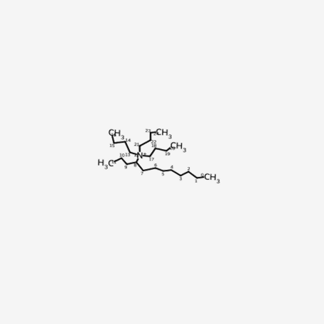 CCCCCCCCC(CCC)[N+](CCCC)(CCCC)CCCC